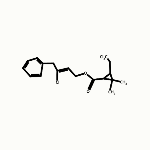 CC1(C)C(CC(Cl)(Cl)Cl)C1C(=O)OCC=C(Cl)Cc1ccccc1